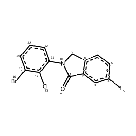 O=C1c2cc(I)ccc2CN1c1cccc(Br)c1Cl